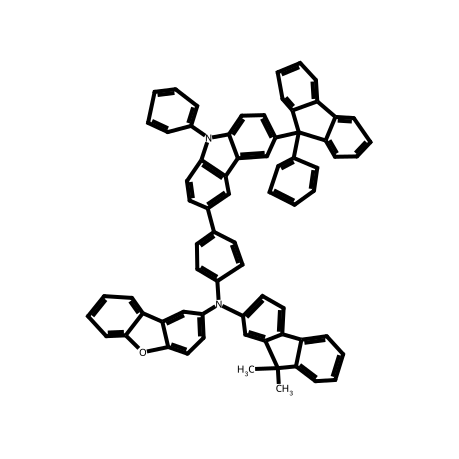 CC1(C)c2ccccc2-c2ccc(N(c3ccc(-c4ccc5c(c4)c4cc(C6(c7ccccc7)c7ccccc7-c7ccccc76)ccc4n5-c4ccccc4)cc3)c3ccc4oc5ccccc5c4c3)cc21